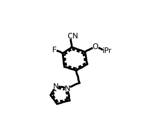 CC(C)Oc1cc(Cn2cccn2)cc(F)c1C#N